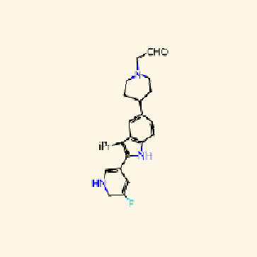 CC(C)c1c(C2=CNCC(F)=C2)[nH]c2ccc(C3CCN(CC=O)CC3)cc12